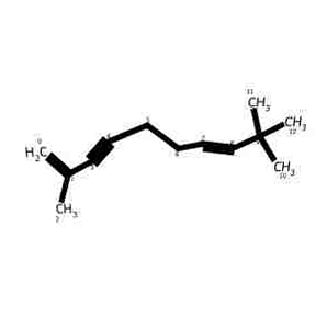 C=C(C)C#CCCC=CC(C)(C)C